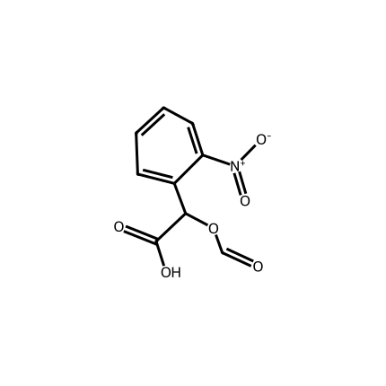 O=COC(C(=O)O)c1ccccc1[N+](=O)[O-]